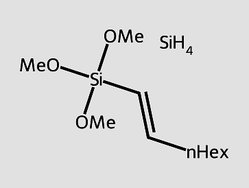 CCCCCCC=C[Si](OC)(OC)OC.[SiH4]